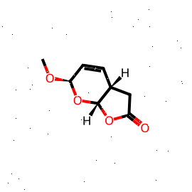 CO[C@H]1C=C[C@@H]2CC(=O)O[C@@H]2O1